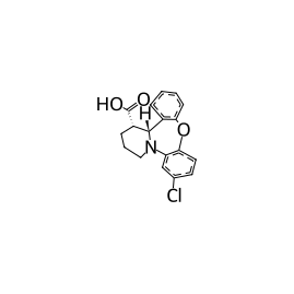 O=C(O)[C@H]1CCCN2c3cc(Cl)ccc3Oc3ccccc3[C@@H]12